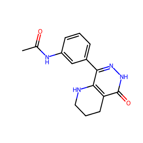 CC(=O)Nc1cccc(-c2n[nH]c(=O)c3c2NCCC3)c1